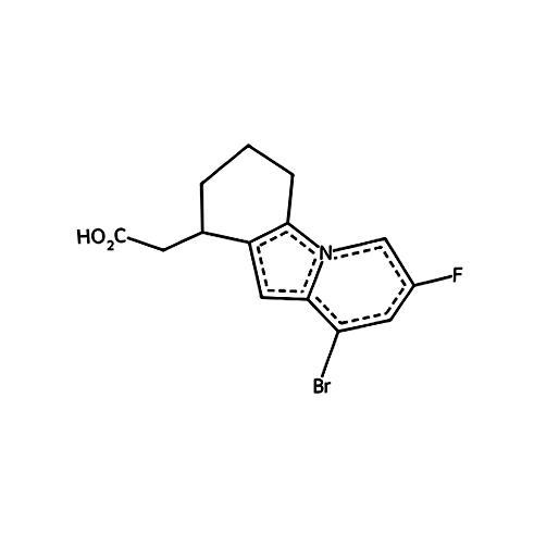 O=C(O)CC1CCCc2c1cc1c(Br)cc(F)cn21